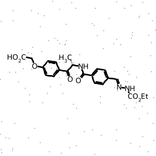 CCOC(=O)NN=Cc1ccc(C(=O)N[C@@H](C)C(=O)c2ccc(OCC(=O)O)cc2)cc1